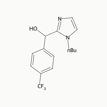 CCCCn1ccnc1C(O)c1ccc(C(F)(F)F)cc1